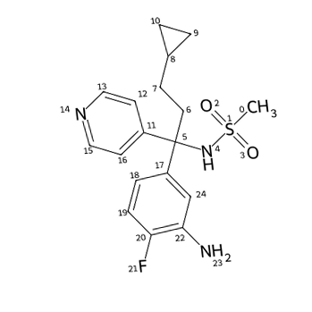 CS(=O)(=O)NC(CCC1CC1)(c1ccncc1)c1ccc(F)c(N)c1